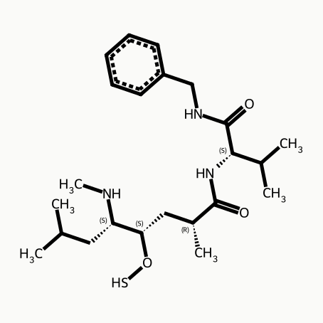 CN[C@@H](CC(C)C)[C@H](C[C@@H](C)C(=O)N[C@H](C(=O)NCc1ccccc1)C(C)C)OS